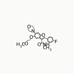 CNC(=O)c1c(-c2ccc(F)cc2)oc2cc(N3CCOCC3)c(OCCOC)cc12